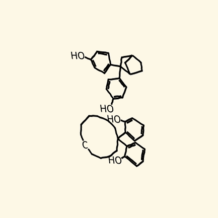 Oc1ccc(C2(c3ccc(O)cc3)CC3CCC2C3)cc1.Oc1ccccc1C1(c2ccccc2O)CCCCCCCCCCC1